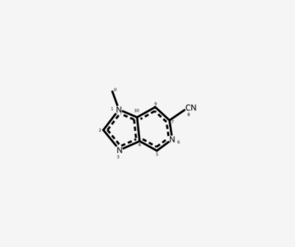 Cn1cnc2cnc(C#N)cc21